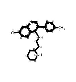 Cc1ccc(-c2cnc3cc(Cl)ccc3c2NCCC2CCCCN2)cc1